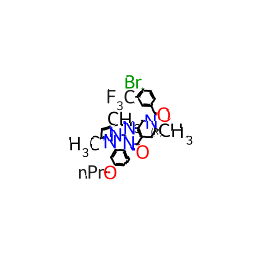 CCCOc1ccc(-n2c(-n3nc(C)cc3C)nc3c(c2=O)C[C@@H](C)N(C(=O)c2ccc(Br)c(C(F)(F)F)c2)C3)cc1